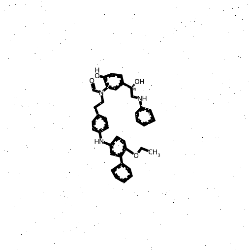 CCOc1ccc(Nc2ccc(CCN(C=O)c3cc([C@@H](O)CNc4ccccc4)ccc3O)cc2)cc1-c1ccccc1